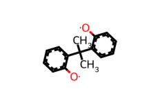 CC(C)(c1ccccc1[O])c1ccccc1[O]